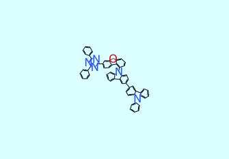 c1ccc(-c2nc(-c3ccccc3)nc(-c3ccc4c(c3)oc3cccc(-n5c6ccccc6c6cc(-c7ccc8c(c7)c7ccccc7n8-c7ccccc7)ccc65)c34)n2)cc1